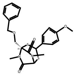 COc1ccc(C2SC3C(=O)N(C)[C@@](COCc4ccccc4)(S2)C(=O)N3C)cc1